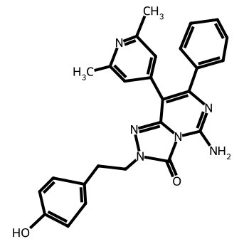 Cc1cc(-c2c(-c3ccccc3)nc(N)n3c(=O)n(CCc4ccc(O)cc4)nc23)cc(C)n1